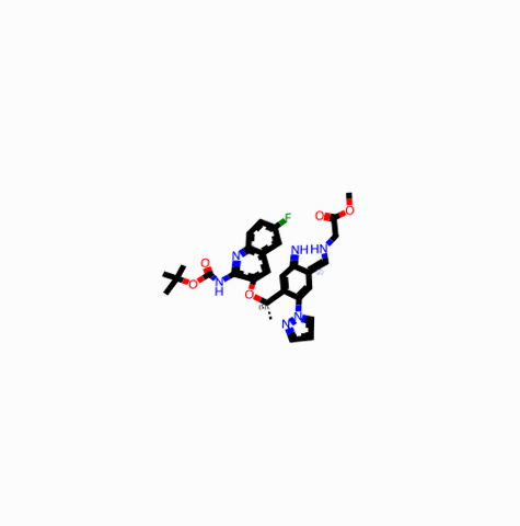 COC(=O)CN/C=C1/C=C(n2cccn2)C([C@H](C)Oc2cc3cc(F)ccc3nc2NC(=O)OC(C)(C)C)=CC1=N